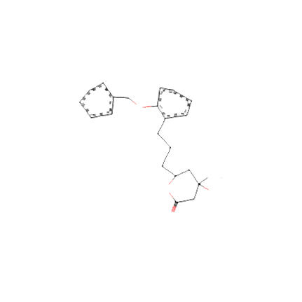 CC1(O)CC(=O)OC(CCCc2ccccc2OCc2ccccc2)C1